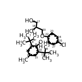 Cc1cc(C(C)(C)C)c(O)c(C(C)(C)C)c1.OCC(O)COc1ccc(Cl)cc1